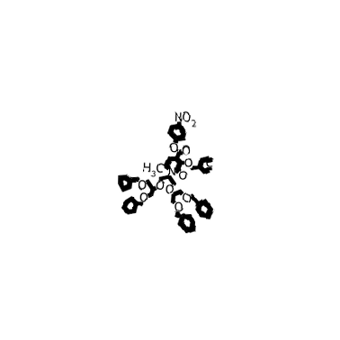 Cc1cc(C(=O)Oc2ccc([N+](=O)[O-])cc2)c(OCc2ccccc2)c(=O)n1C(COC(COCc1ccccc1)COCc1ccccc1)COC(COCc1ccccc1)COCc1ccccc1